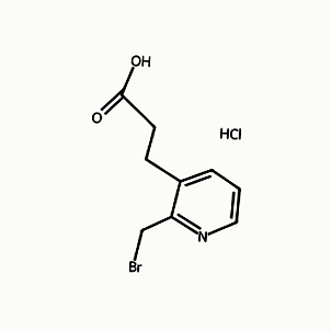 Cl.O=C(O)CCc1cccnc1CBr